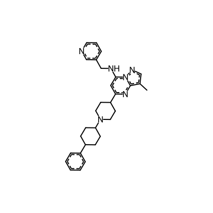 Cc1cnn2c(NCc3cccnc3)cc(C3CCN(C4CCC(c5ccccc5)CC4)CC3)nc12